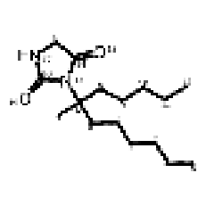 CCCCCCC(C)(CCCCC)N1C(=O)CNC1=O